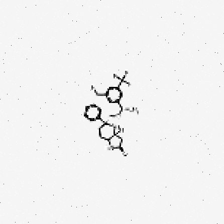 C[C@@H](OC[C@@]1(c2ccccc2)CCC2NC(=O)C[C@H]2N1)c1cc(CF)cc(C(F)(F)F)c1